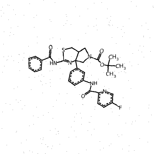 CC(C)(C)OC(=O)N1CC2CSC(NC(=O)c3ccccc3)=NC2(c2cccc(NC(=O)c3ccc(F)cn3)c2)C1